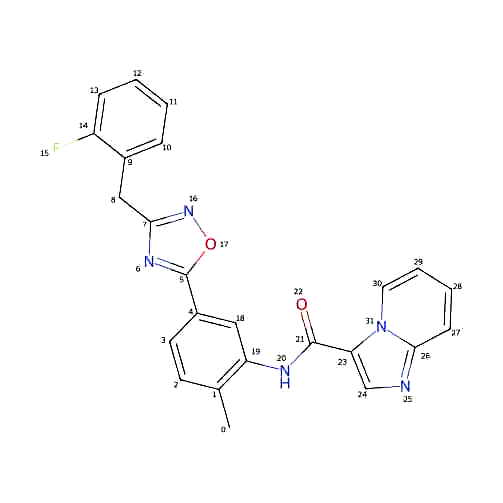 Cc1ccc(-c2nc(Cc3ccccc3F)no2)cc1NC(=O)c1cnc2ccccn12